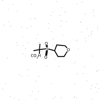 CC(C)(C(=O)O)S(=O)(=O)C1CCOCC1